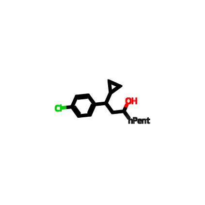 CCCCCC(O)CC(c1ccc(Cl)cc1)C1CC1